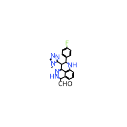 Cn1cnnc1C1C2=NNC(C=O)c3cccc(c32)NC1c1ccc(F)cc1